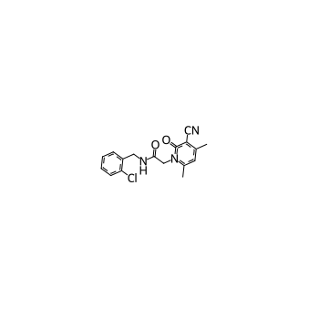 Cc1cc(C)n(CC(=O)NCc2ccccc2Cl)c(=O)c1C#N